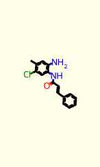 Cc1cc(N)c(NC(=O)/C=C/c2ccccc2)cc1Cl